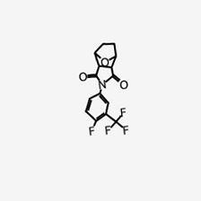 O=C1C2C3CCC(O3)C2C(=O)N1c1ccc(F)c(C(F)(F)F)c1